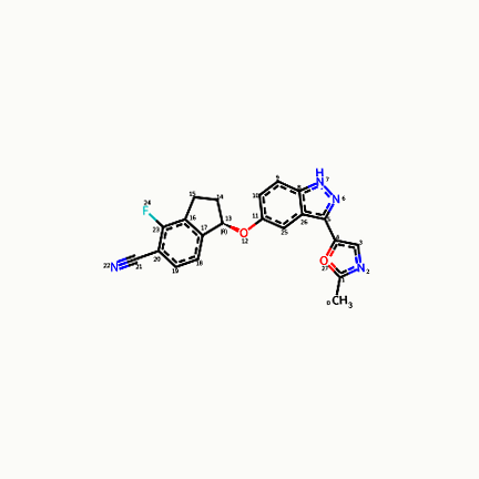 Cc1ncc(-c2n[nH]c3ccc(O[C@@H]4CCc5c4ccc(C#N)c5F)cc23)o1